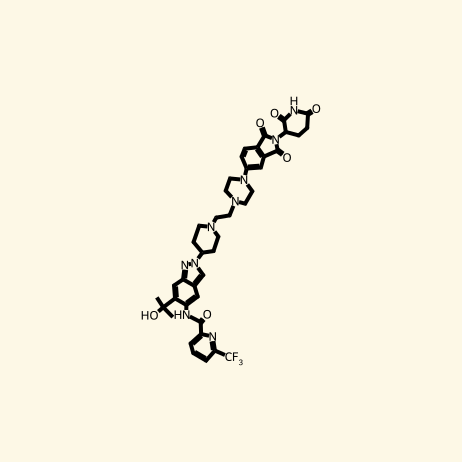 CC(C)(O)c1cc2nn(C3CCN(CCN4CCN(c5ccc6c(c5)C(=O)N(C5CCC(=O)NC5=O)C6=O)CC4)CC3)cc2cc1NC(=O)c1cccc(C(F)(F)F)n1